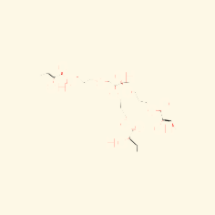 CC=C(O)C(=O)OCCCOCC(OCCCOC(=O)C(O)=CC)C(C)(O)OCCCOC(=O)C(O)=CC